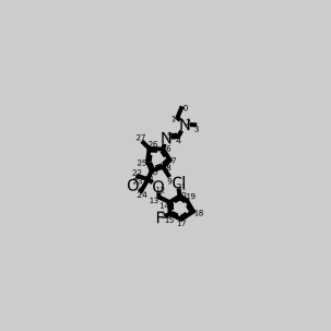 CCN(C)C=Nc1cc(C)c(C2(OCc3c(F)cccc3Cl)COC2)cc1C